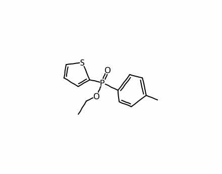 CCOP(=O)(c1ccc(C)cc1)c1cccs1